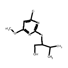 COc1cc(Cl)nc(SC(CO)C(C)C)n1